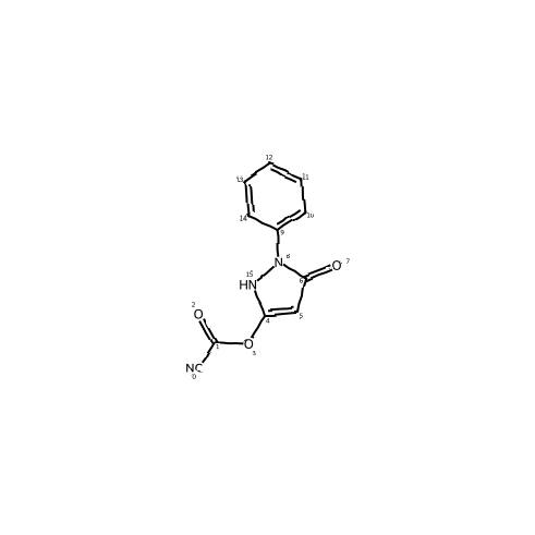 N#CC(=O)Oc1cc(=O)n(-c2ccccc2)[nH]1